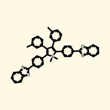 Cc1cccc(C2=C(c3ccc(-c4nc5ccccc5o4)cc3)[Si](C)(C)C(c3ccc(-c4nc5ccccc5o4)cc3)=C2c2cccc(C)c2)c1